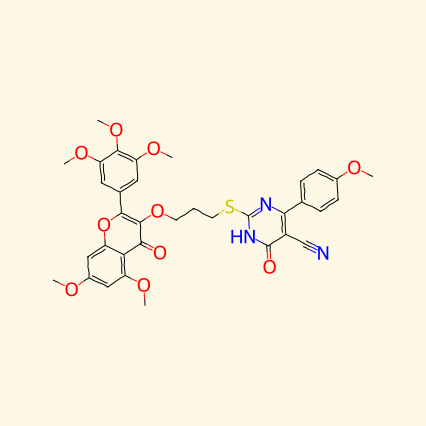 COc1ccc(-c2nc(SCCCOc3c(-c4cc(OC)c(OC)c(OC)c4)oc4cc(OC)cc(OC)c4c3=O)[nH]c(=O)c2C#N)cc1